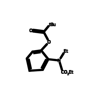 CCOC(=O)N(CC)c1ccccc1OC(=O)C(C)(C)C